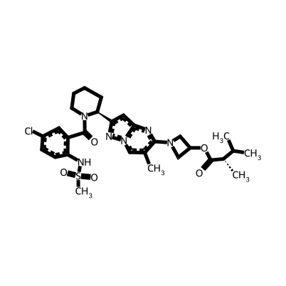 Cc1cn2nc([C@@H]3CCCCN3C(=O)c3cc(Cl)ccc3NS(C)(=O)=O)cc2nc1N1CC(OC(=O)[C@@H](C)C(C)C)C1